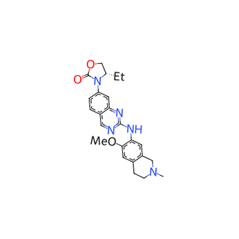 CC[C@H]1COC(=O)N1c1ccc2cnc(Nc3cc4c(cc3OC)CCN(C)C4)nc2c1